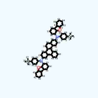 C[Si](C)(C)c1ccc(N(c2ccc3c(ccc4c5ccc(N(c6ccc([Si](C)(C)C)cc6)c6cccc7c6oc6ccccc67)cc5c5ccccc5c34)c2)c2cccc3c2oc2ccccc23)cc1